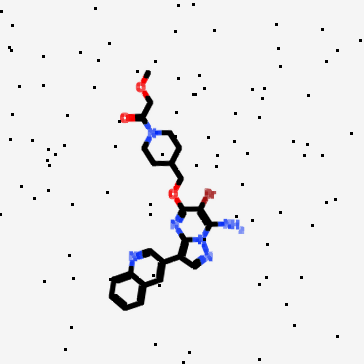 COCC(=O)N1CCC(COc2nc3c(-c4cnc5ccccc5c4)cnn3c(N)c2Br)CC1